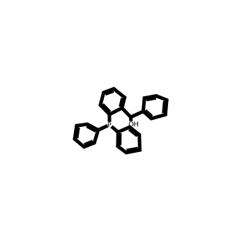 OC(c1ccccc1)c1ccccc1P(c1ccccc1)c1ccccc1